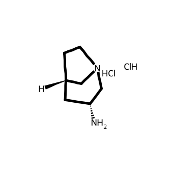 Cl.Cl.N[C@@H]1C[C@@H]2CCN(C1)C2